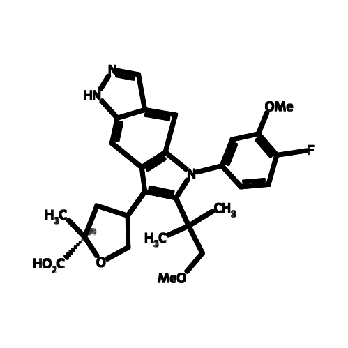 COCC(C)(C)c1c(C2CO[C@](C)(C(=O)O)C2)c2cc3[nH]ncc3cc2n1-c1ccc(F)c(OC)c1